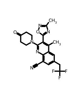 Cc1noc(-c2c(N3CCC(=O)CC3)nc3c(C#N)cc(CC(F)(F)F)cc3c2C)n1